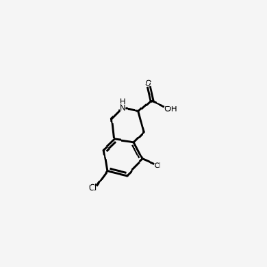 O=C(O)C1Cc2c(Cl)cc(Cl)cc2CN1